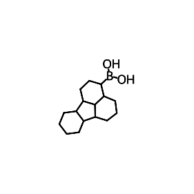 OB(O)C1CCC2C3CCCCC3C3CCCC1C32